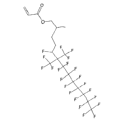 C=CC(=O)OCC(C)CCC(F)C(C(F)(F)F)(C(F)(F)F)C(F)(F)C(F)(F)C(F)(F)C(F)(F)C(F)(F)C(F)(F)C(F)(F)F